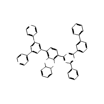 C1=CC2Oc3c(-c4cc(-c5ccncc5)cc(-c5ccncc5)c4)ccc(-c4nc(-c5ccccc5)nc(-c5cccc(-c6ccccc6)c5)n4)c3OC2C=C1